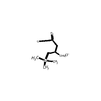 CC(=O)OC(CC(=O)Cl)C[N+](C)(C)C.[Cl-]